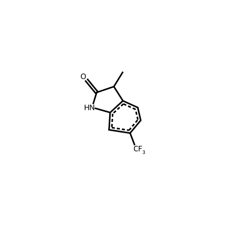 CC1C(=O)Nc2cc(C(F)(F)F)ccc21